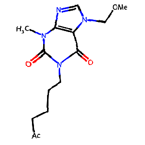 COCn1cnc2c1c(=O)n(CCCCC(C)=O)c(=O)n2C